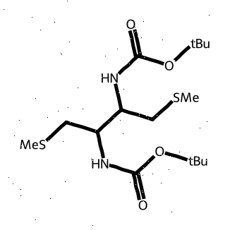 CSCC(NC(=O)OC(C)(C)C)C(CSC)NC(=O)OC(C)(C)C